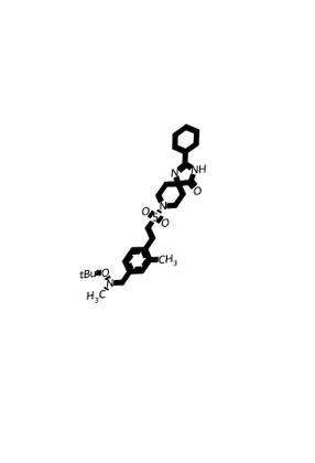 Cc1cc(CN(C)OC(C)(C)C)ccc1CCS(=O)(=O)N1CCC2(CC1)N=C(C1CCCCC1)NC2=O